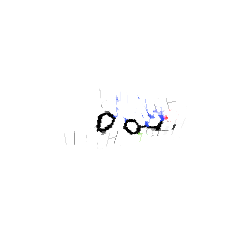 Cc1cc(C)c(Nc2ccc(F)c([C@@]3(C)N=C(N)N(C)C(=O)C3(C)C)c2)cc1C